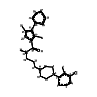 Cc1c(Cl)cccc1N1CCN(CCCN(C)C(=O)c2nc(C)n(-c3ccccc3)c2C)CC1